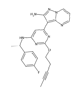 CC#CCCOc1nc(N[C@@H](C)c2ccc(F)cc2)cc(-c2c(N)nn3cccnc23)n1